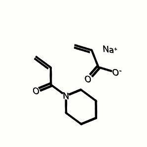 C=CC(=O)N1CCCCC1.C=CC(=O)[O-].[Na+]